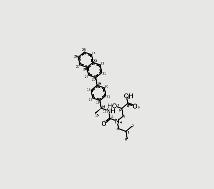 CC(C)CN(CC(O)C(=O)O)C(=O)N[C@@H](C)c1ccc(-c2ccc3ccccc3c2)cc1